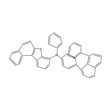 c1ccc(-c2cccc3cccc(-c4ccc(N(c5ccccc5)c5cccc6c5sc5ccc7ccccc7c56)cc4)c23)cc1